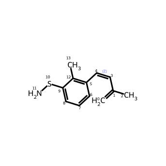 C=C(C)/C=C\c1cccc(SN)c1C